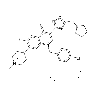 CN1CCN(c2cc3c(cc2F)c(=O)c(-c2noc(CN4CCCC4)n2)cn3Cc2ccc(Cl)cc2)CC1